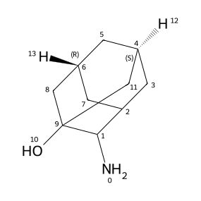 NC1C2C[C@@H]3C[C@H](C2)CC1(O)C3